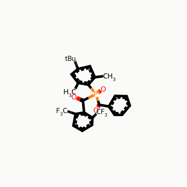 Cc1cc(C(C)(C)C)cc(C)c1P(=O)(C(=O)c1ccccc1)C(=O)c1c(C(F)(F)F)cccc1C(F)(F)F